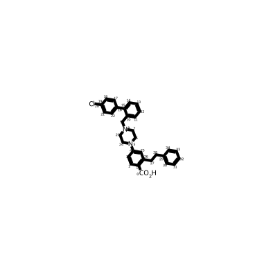 O=C(O)c1ccc(N2CCN(Cc3ccccc3-c3ccc(Cl)cc3)CC2)cc1CCc1ccccc1